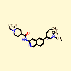 C=C=C/C(=C\N(C)C)c1ccc2cnc(NC(=O)C3CCN(CC(=O)O)CC3)cc2c1